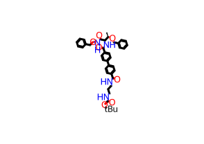 C[C@@H](OCc1ccccc1)[C@H](NC(=O)c1ccc(-c2ccc(C(=O)NCCCNC(=O)OC(C)(C)C)cc2)cc1)C(=O)NOCc1ccccc1